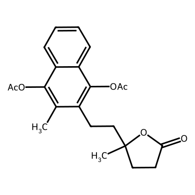 CC(=O)Oc1c(C)c(CCC2(C)CCC(=O)O2)c(OC(C)=O)c2ccccc12